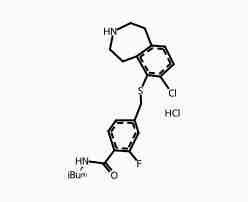 CC[C@@H](C)NC(=O)c1ccc(CSc2c(Cl)ccc3c2CCNCC3)cc1F.Cl